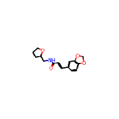 O=C(C=Cc1ccc2c(c1)OCO2)NCC1CCCO1